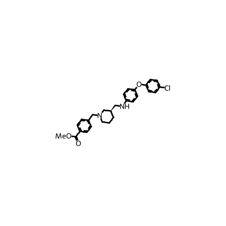 COC(=O)c1ccc(CN2CCC[C@H](CNc3ccc(Oc4ccc(Cl)cc4)cc3)C2)cc1